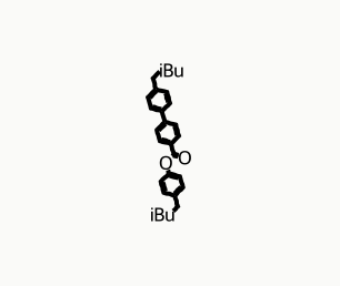 CCC(C)Cc1ccc(OC(=O)c2ccc(-c3ccc(CC(C)CC)cc3)cc2)cc1